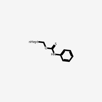 CCCCCCCCOC(=S)Nc1ccccc1